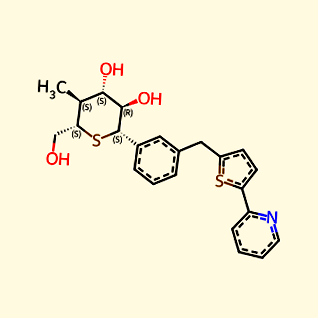 C[C@H]1[C@H](O)[C@@H](O)[C@H](c2cccc(Cc3ccc(-c4ccccn4)s3)c2)S[C@@H]1CO